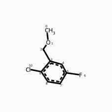 CO[CH]c1cc(F)ccc1Cl